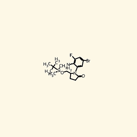 CC(C)(C)[Si](C)(C)OCC1CCC(=O)N1c1cc(Br)cc(F)c1N